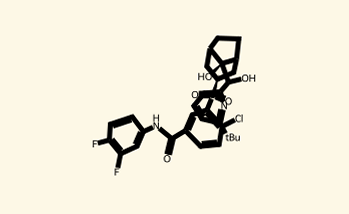 CC(C)(C)c1cccc(C(O)[C@]2(O)C3CCC2C[C@@H](S(=O)(=O)c2cc(C(=O)Nc4ccc(F)c(F)c4)ccc2Cl)C3)n1